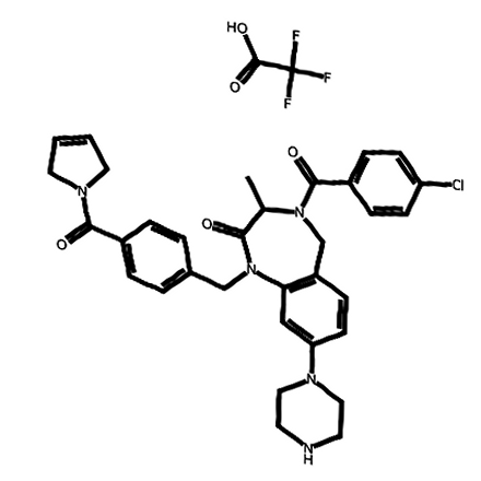 CC1C(=O)N(Cc2ccc(C(=O)N3CC=CC3)cc2)c2cc(N3CCNCC3)ccc2CN1C(=O)c1ccc(Cl)cc1.O=C(O)C(F)(F)F